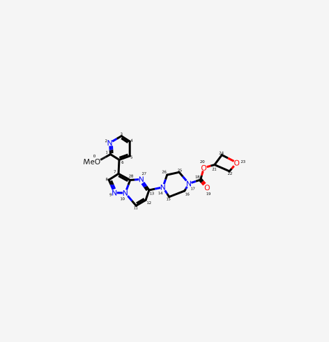 COc1ncccc1-c1cnn2ccc(N3CCN(C(=O)OC4COC4)CC3)nc12